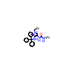 CCCNC(=O)Nc1c[n+](CC(C)C)n(C)c1NC(c1ccccc1)(c1ccccc1)c1ccccc1